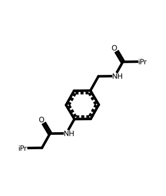 CC(C)CC(=O)Nc1ccc(CNC(=O)C(C)C)cc1